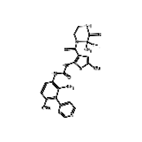 COc1ccc(NC(=O)Nc2sc(C(C)(C)C)cc2C(=O)N2CCNC(=O)C2(C)C)c(C)c1-c1ccncc1